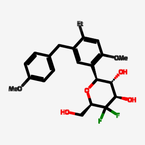 CCc1cc(OC)c([C@@H]2O[C@H](CO)C(F)(F)[C@H](O)[C@H]2O)cc1Cc1ccc(OC)cc1